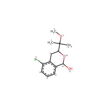 COC(C)(C)C1Cc2c(Br)cccc2C(O)O1